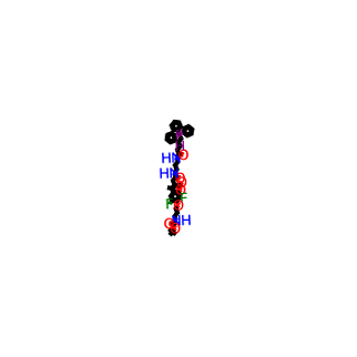 Cc1c(CC(=O)NCCCNC(=O)CCCC[PH](c2ccccc2)(c2ccccc2)c2ccccc2)c(=O)oc2c(F)c(OCCCNC(=O)OC(C)(C)C)c(F)cc12